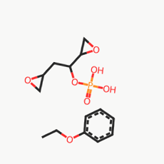 CCOc1ccccc1.O=P(O)(O)OC(CC1CO1)C1CO1